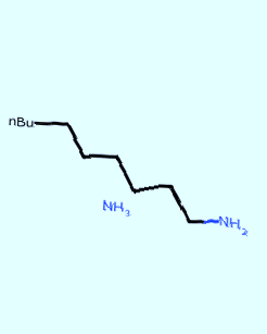 CCCCCCCCCCN.N